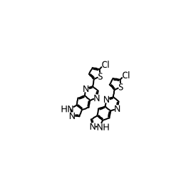 Clc1ccc(-c2cnc3cc4[nH]ncc4cc3n2)s1.Clc1ccc(-c2cnc3cc4cn[nH]c4cc3n2)s1